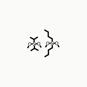 CCCC[Si](CCCC)(OC)OC.CO[Si](OC)(C(C)C)C(C)C